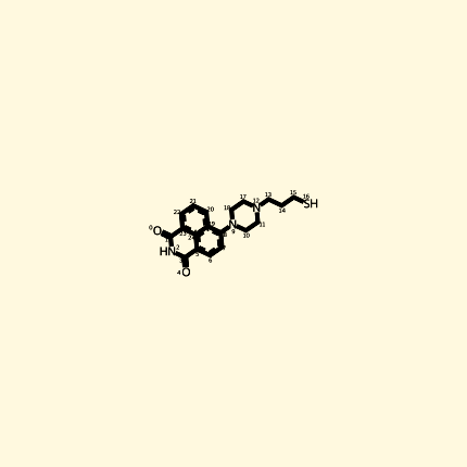 O=C1NC(=O)c2ccc(N3CCN(CCCS)CC3)c3cccc1c23